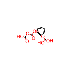 O=C(O)O.O=C(O)OC(=O)O.c1ccccc1